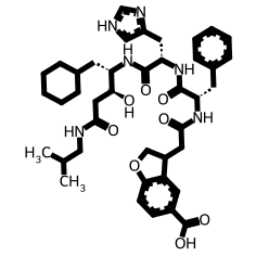 CC(C)CNC(=O)C[C@H](O)[C@H](CC1CCCCC1)NC(=O)[C@H](Cc1c[nH]cn1)NC(=O)[C@H](Cc1ccccc1)NC(=O)CC1COc2ccc(C(=O)O)cc21